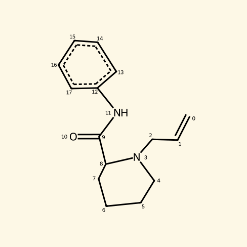 C=CCN1CCCCC1C(=O)Nc1ccccc1